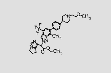 CCOC(=O)C(c1ncn2c1CCC2)n1cc2c(C(F)(F)F)cc(-c3ccc(C4CCN(CCOC)CC4)cc3)c(C)c2n1